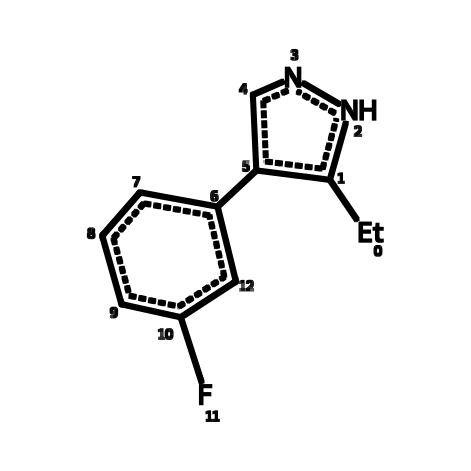 CCc1[nH]ncc1-c1cccc(F)c1